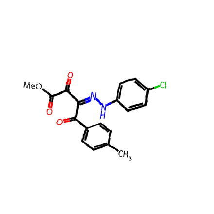 COC(=O)C(=O)C(=NNc1ccc(Cl)cc1)C(=O)c1ccc(C)cc1